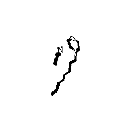 CC#N.CCCCCCCCN1CCOCC1